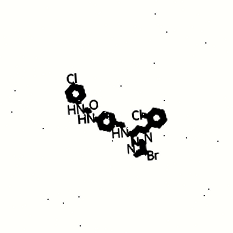 O=C(Nc1ccc(Cl)cc1)Nc1ccc(CNc2cc(-c3ccccc3Cl)nc3c(Br)cnn23)cc1